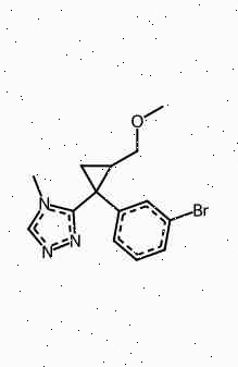 COCC1CC1(c1cccc(Br)c1)c1nncn1C